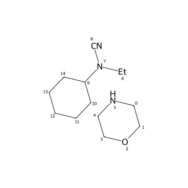 C1COCCN1.CCN(C#N)C1CCCCC1